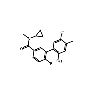 Cc1cc(O)c(-c2cc(C(=O)N(C)C3CC3)ccc2F)cc1Cl